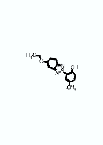 CCOc1ccc2nn(-c3cc(C)ccc3O)nc2c1